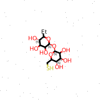 CCC1O[C@@H](O[C@@H]2OC(CS)[C@@H](O)[C@H](O)C2O)C(O)C(O)[C@@H]1O